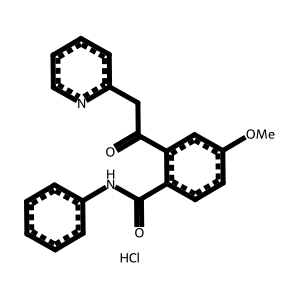 COc1ccc(C(=O)Nc2ccccc2)c(C(=O)Cc2ccccn2)c1.Cl